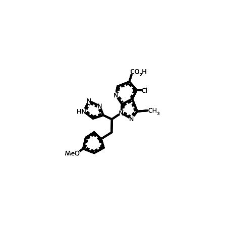 COc1ccc(CC(c2c[nH]nn2)n2nc(C)c3c(Cl)c(C(=O)O)cnc32)cc1